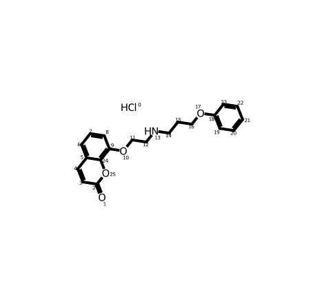 Cl.O=c1ccc2cccc(OCCNCCCOc3ccccc3)c2o1